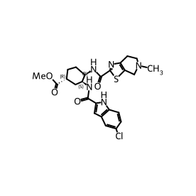 COC(=O)[C@@H]1CC[C@@H](NC(=O)c2nc3c(s2)CN(C)CC3)[C@@H](NC(=O)c2cc3cc(Cl)ccc3[nH]2)C1